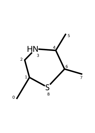 CC1CNC(C)C(C)S1